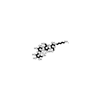 NCCCCCO[C@H]1OC(CO)[C@@H](O[C@@H]2OC(CO)[C@@H](O[C@@H]3OC(C(=O)O)[C@@H](O[C@H]4OC(CO)[C@H](O)[C@H](O)C4O)C(O)[C@@H]3O)C(O)C2O)[C@H](O)C1O